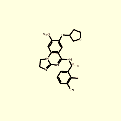 COc1cc2c(cc1OC1CCOC1)C(N[C@H](C)c1cccc(C#N)c1C)=NC1=NCCN12